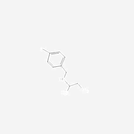 CCC(C)NCc1ccc(Cl)cc1